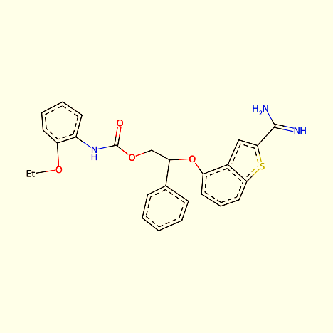 CCOc1ccccc1NC(=O)OCC(Oc1cccc2sc(C(=N)N)cc12)c1ccccc1